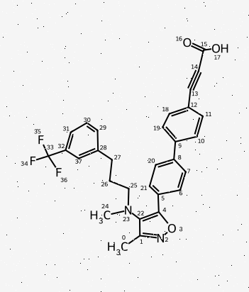 Cc1noc(-c2ccc(-c3ccc(C#CC(=O)O)cc3)cc2)c1N(C)CCCc1cccc(C(F)(F)F)c1